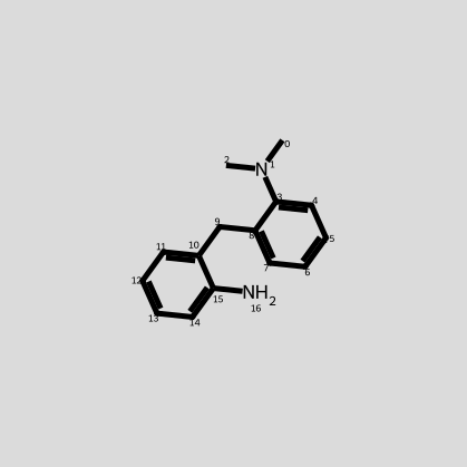 CN(C)c1c[c]ccc1Cc1ccccc1N